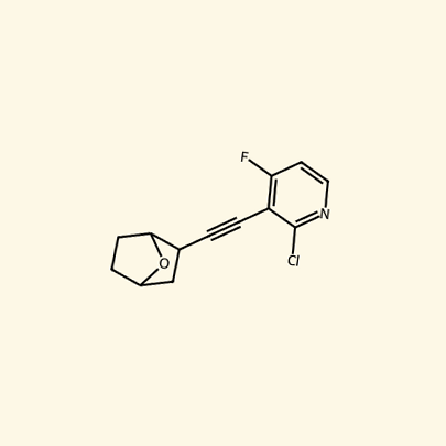 Fc1ccnc(Cl)c1C#CC1CC2CCC1O2